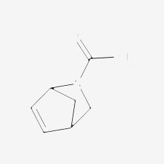 BC(=O)N1CC2C=CC1C2